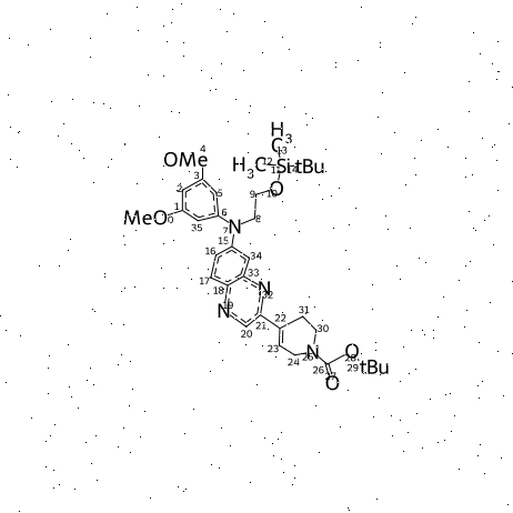 COc1cc(OC)cc(N(CCO[Si](C)(C)C(C)(C)C)c2ccc3ncc(C4=CCN(C(=O)OC(C)(C)C)CC4)nc3c2)c1